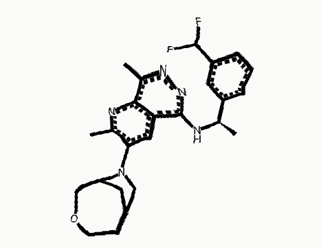 Cc1nc2c(C)nnc(N[C@H](C)c3cccc(C(F)F)c3)c2cc1N1CC2CCOCC1C2